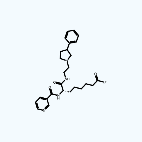 CCC(=O)CCCCC[C@H](NC(=O)c1cccnc1)C(=O)NCCN1CCC(c2ccccc2)C1